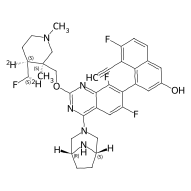 [2H][C@H](F)[C@@]1([2H])CCN(C)C[C@@]1(C)COc1nc(N2C[C@H]3CC[C@@H](C2)N3)c2cc(F)c(-c3cc(O)cc4ccc(F)c(C#C)c34)c(F)c2n1